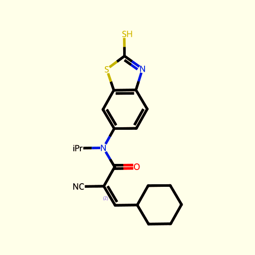 CC(C)N(C(=O)/C(C#N)=C\C1CCCCC1)c1ccc2nc(S)sc2c1